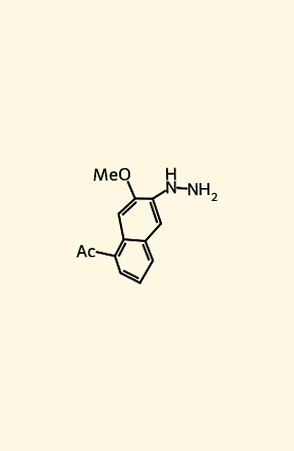 COc1cc2c(C(C)=O)cccc2cc1NN